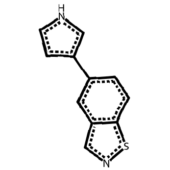 c1cc(-c2ccc3sncc3c2)c[nH]1